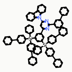 c1ccc(-c2ccc([Si](c3ccccc3)(c3ccc(-c4ccccc4)cc3)c3cc(-c4cc(-n5c6ccccc6c6ccccc65)nc(-c5cccc(-c6ccccc6)c5)n4)cc([Si](c4ccccc4)(c4ccc(-c5ccccc5)cc4)c4ccc(-c5ccccc5)cc4)c3)cc2)cc1